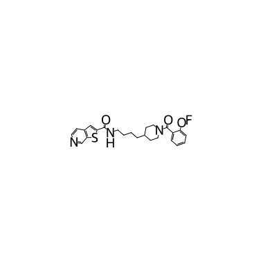 O=C(NCCCCC1CCN(C(=O)c2ccccc2OF)CC1)c1cc2ccncc2s1